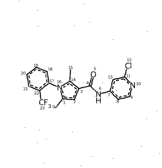 Cc1cc(C(=O)Nc2ccnc(Cl)c2)c(C)n1-c1ccccc1C(F)(F)F